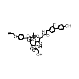 C#CCOc1ccc(CO[C@]2(C(=O)OC)C[C@H](O)[C@@H](NC(=O)CO)[C@H]([C@H](O)[C@H](O)CNC(=O)Cc3ccc(-c4ccc(O)cc4)c(Cl)c3)O2)cc1